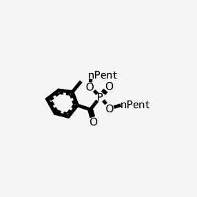 CCCCCOP(=O)(OCCCCC)C(=O)c1ccccc1C